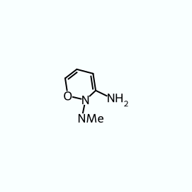 CNN1OC=CC=C1N